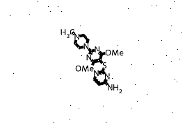 COc1nc(N2CCN(C)CC2)nc(OC)c1Sc1nccc(N)n1